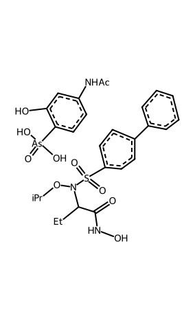 CC(=O)Nc1ccc([As](=O)(O)O)c(O)c1.CCC(C(=O)NO)N(OC(C)C)S(=O)(=O)c1ccc(-c2ccccc2)cc1